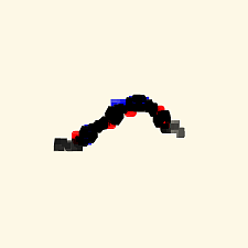 CNC(=O)CN1CCN(CCCCCOc2ccc(CCNC(=O)CN3CCN(CCCCOc4ccc(C)cc4)CC3)cc2)CC1